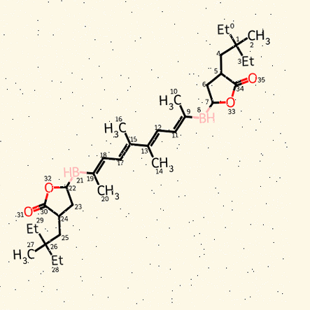 CCC(C)(CC)CC1CC(B/C(C)=C/C=C(C)/C(C)=C/C=C(\C)BC2CC(CC(C)(CC)CC)C(=O)O2)OC1=O